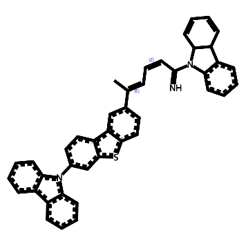 C/C(=C\C=C/C(=N)N1c2ccccc2C2C=CC=CC21)c1ccc2sc3cc(-n4c5ccccc5c5ccccc54)ccc3c2c1